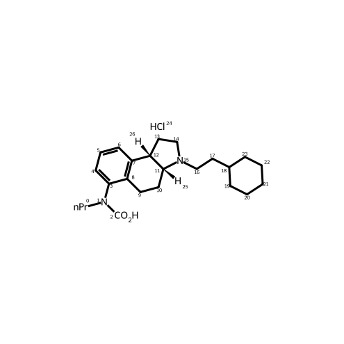 CCCN(C(=O)O)c1cccc2c1CC[C@@H]1[C@H]2CCN1CCC1CCCCC1.Cl